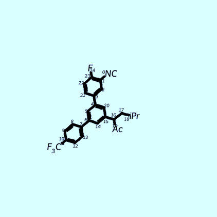 [C-]#[N+]c1cc(-c2cc(-c3ccc(C(F)(F)F)cc3)cc(C(CC(C)C)C(C)=O)c2)ccc1F